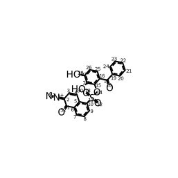 [N-]=[N+]=C1C=Cc2c(cccc2S(=O)(=O)Oc2c(C(=O)c3ccccc3)ccc(O)c2O)C1=O